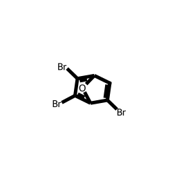 Brc1c(Br)c2oc1cc2Br